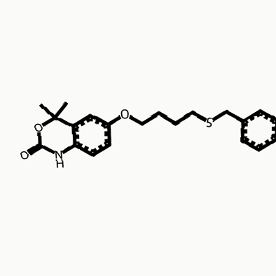 CC1(C)OC(=O)Nc2ccc(OCCCCSCc3ccccc3)cc21